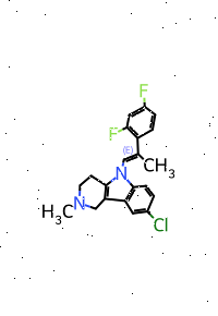 C/C(=C\n1c2c(c3cc(Cl)ccc31)CN(C)CC2)c1ccc(F)cc1F